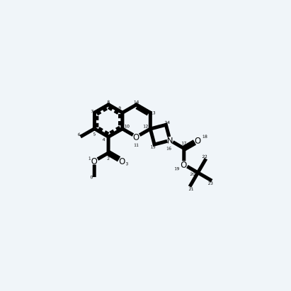 COC(=O)c1c(C)ccc2c1OC1(C=C2)CN(C(=O)OC(C)(C)C)C1